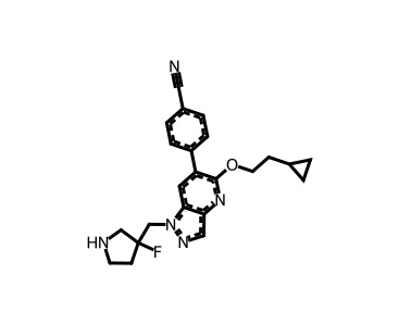 N#Cc1ccc(-c2cc3c(cnn3CC3(F)CCNC3)nc2OCCC2CC2)cc1